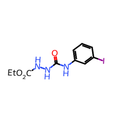 CCOC(=O)NNC(=O)Nc1cccc(I)c1